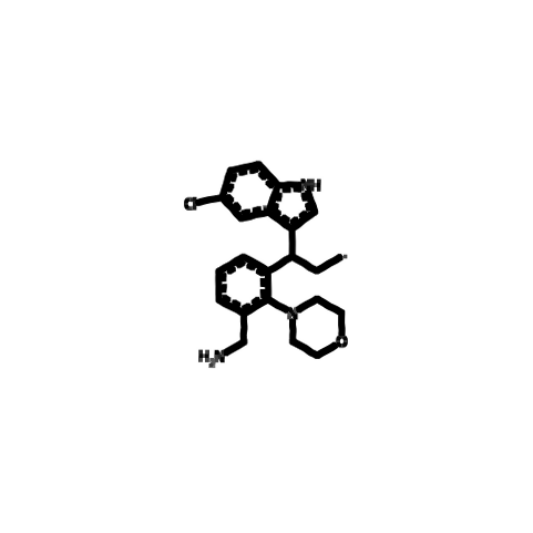 [CH2]CC(c1cccc(CN)c1N1CCOCC1)c1c[nH]c2ccc(Cl)cc12